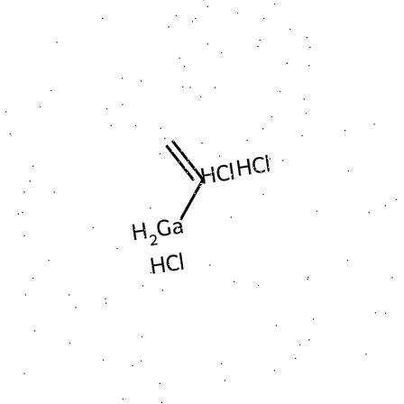 C=[CH][GaH2].Cl.Cl.Cl